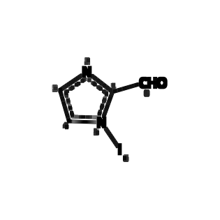 O=Cc1nccn1I